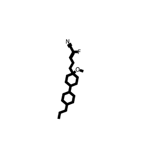 CCCC1CCC(C2CCC(CCC=C(F)C#N)(OC)CC2)CC1